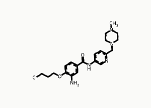 CN1CCN(Cc2ccc(NC(=O)c3ccc(OCCCCl)c(N)c3)cn2)CC1